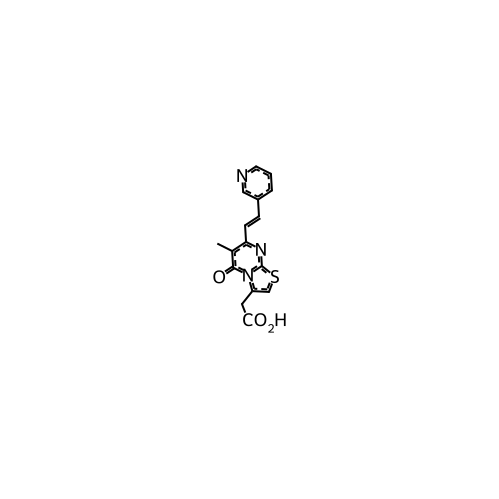 Cc1c(/C=C/c2cccnc2)nc2scc(CC(=O)O)n2c1=O